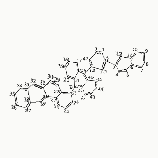 c1cc(-c2ccc3ccccc3c2)cc(-c2c3ccccc3c(-c3cccc4c3ccc3cc5ccccc5cc34)c3ccccc23)c1